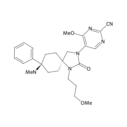 CN[C@]1(c2ccccc2)CC[C@]2(CC1)CN(c1cnc(C#N)nc1OC)C(=O)N2CCCOC